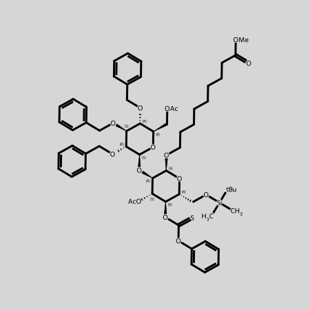 COC(=O)CCCCCCCCO[C@H]1O[C@H](CO[Si](C)(C)C(C)(C)C)[C@@H](OC(=S)Oc2ccccc2)[C@H](OC(C)=O)[C@H]1O[C@@H]1O[C@H](COC(C)=O)[C@@H](OCc2ccccc2)[C@H](OCc2ccccc2)[C@H]1OCc1ccccc1